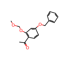 COCOc1cc(OCc2ccccc2)ccc1C(C)=O